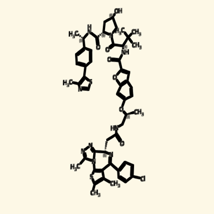 Cc1ncsc1-c1ccc([C@H](C)NC(=O)[C@@H]2C[C@@H](O)CN2C(=O)[C@@H](NC(=O)c2cc3ccc(O[C@@H](C)CNC(=O)C[C@@H]4N=C(c5ccc(Cl)cc5)c5c(sc(C)c5C)-n5c(C)nnc54)cc3o2)C(C)(C)C)cc1